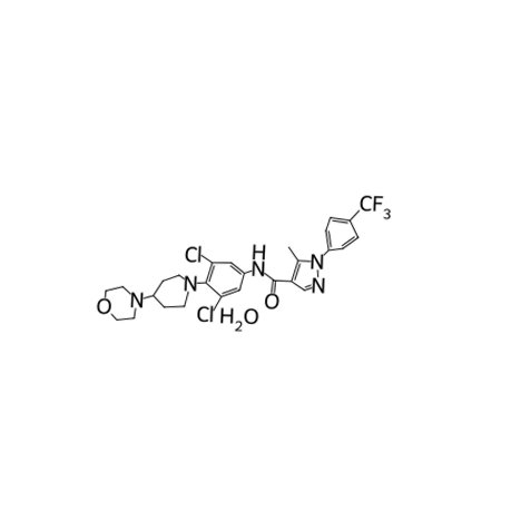 Cc1c(C(=O)Nc2cc(Cl)c(N3CCC(N4CCOCC4)CC3)c(Cl)c2)cnn1-c1ccc(C(F)(F)F)cc1.O